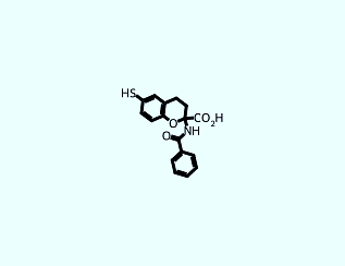 O=C(NC1(C(=O)O)CCc2cc(S)ccc2O1)c1ccccc1